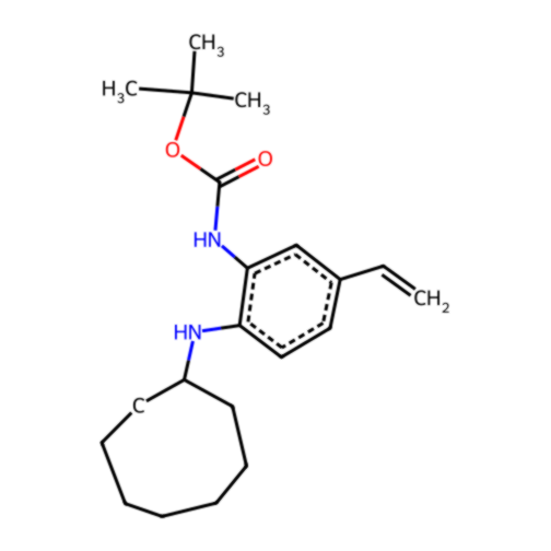 C=Cc1ccc(NC2CCCCCCC2)c(NC(=O)OC(C)(C)C)c1